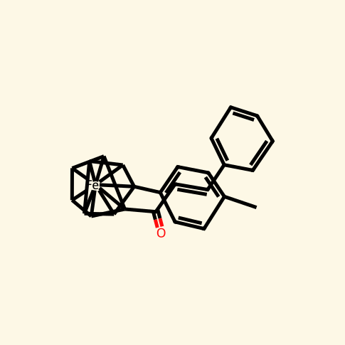 Cc1ccc([C]23[CH]4[CH]5[CH]6[CH]2[Fe]56432789[CH]3[CH]2[CH]7[C]8(C(=O)C=Cc2ccccc2)[CH]39)cc1